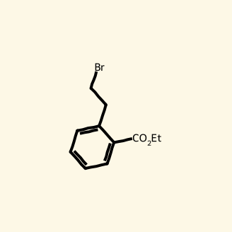 CCOC(=O)c1ccccc1CCBr